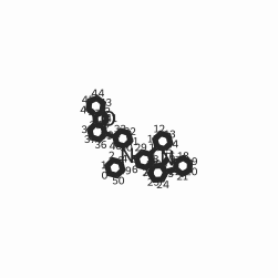 c1ccc(N(c2cccc(-c3ccccc3-n3c4ccccc4c4ccccc43)c2)c2cccc(-c3cccc4c3oc3ccccc34)c2)cc1